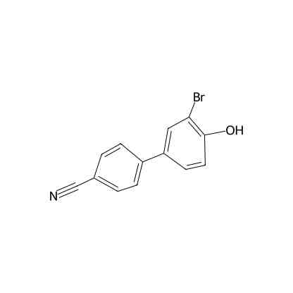 N#Cc1ccc(-c2ccc(O)c(Br)c2)cc1